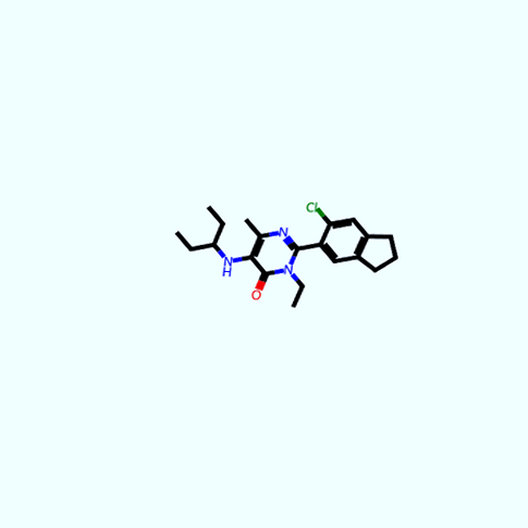 CCC(CC)Nc1c(C)nc(-c2cc3c(cc2Cl)CCC3)n(CC)c1=O